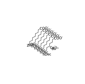 CCCCCCCCCCCCCCCCCC(=O)[O-].CCCCCCCCCCCCCCCCCC(=O)[O-].CCCCCCCCCCCCCCCCCC(=O)[O-].CCCCCCCCCCCCCCCCCC(=O)[O-].CCCCCCCCCCCCCCCCCC(=O)[O-].CCCCCCCCCCCCCCCCCC(=O)[O-].[Ba+2].[Ca+2].[Zn+2]